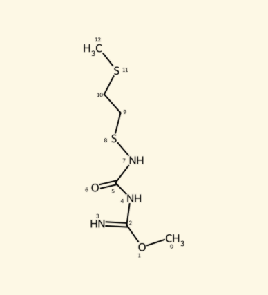 COC(=N)NC(=O)NSCCSC